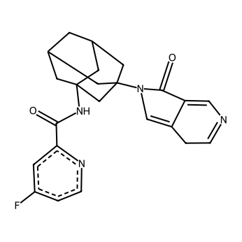 O=C(NC12CC3CC(C1)CC(N1C=C4CC=NC=C4C1=O)(C3)C2)c1cc(F)ccn1